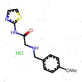 COc1ccc(CNCC(=O)Nc2nccs2)cc1.Cl